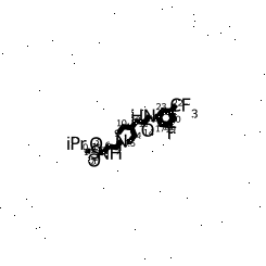 CC(C)CS(=O)(=O)NCCN1CCC(CC(=O)Nc2cc(F)cc(C(F)(F)F)c2)CC1